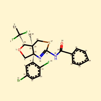 CCC(F)(F)[C@H]1OC[C@]2(c3cc(Br)ccc3F)N=C(NC(=O)c3ccccc3)SC[C@H]12